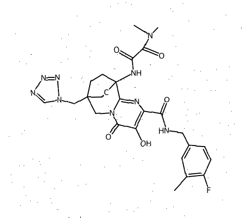 Cc1cc(CNC(=O)c2nc3n(c(=O)c2O)CC2(Cn4cnnn4)CCC3(NC(=O)C(=O)N(C)C)CC2)ccc1F